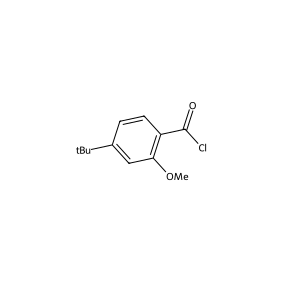 COc1cc(C(C)(C)C)ccc1C(=O)Cl